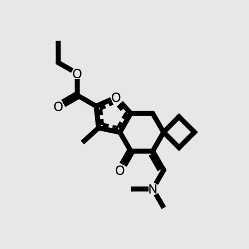 CCOC(=O)c1oc2c(c1C)C(=O)C(=CN(C)C)C1(CCC1)C2